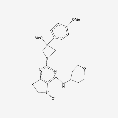 COc1ccc(C2(OC)CN(c3nc4c(c(NC5CCOCC5)n3)[S@+]([O-])CC4)C2)cc1